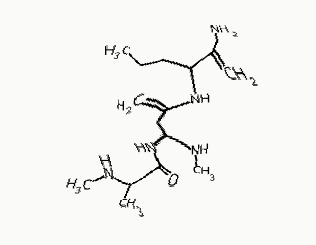 C=C(N)C(CCC)NC(=C)C(NC)NC(=O)C(C)NC